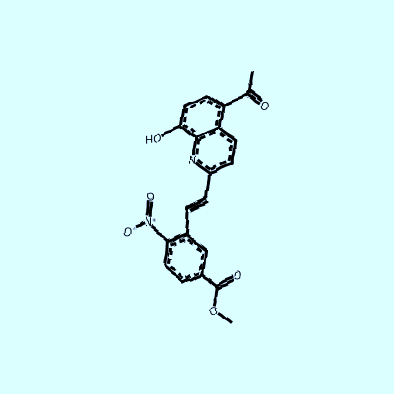 COC(=O)c1ccc([N+](=O)[O-])c(C=Cc2ccc3c(C(C)=O)ccc(O)c3n2)c1